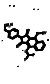 CC(C)Oc1c2c(c(OC(F)F)c3ccccc13)C(=O)N(c1ccc(CC(=O)O)cc1)C2=O